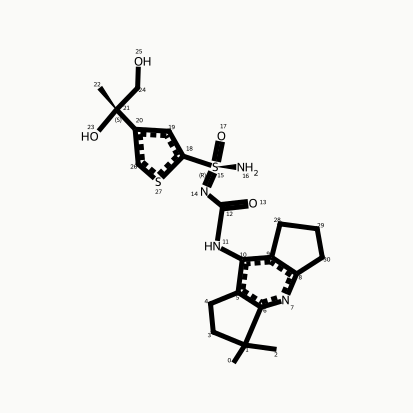 CC1(C)CCc2c1nc1c(c2NC(=O)N=[S@@](N)(=O)c2cc([C@](C)(O)CO)cs2)CCC1